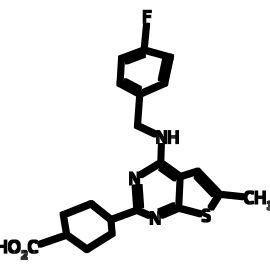 Cc1cc2c(NCc3ccc(F)cc3)nc(C3CCC(C(=O)O)CC3)nc2s1